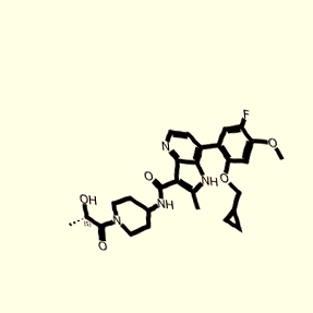 COc1cc(OCC2CC2)c(-c2ccnc3c(C(=O)NC4CCN(C(=O)[C@H](C)O)CC4)c(C)[nH]c23)cc1F